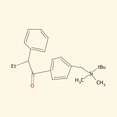 CCC(C(=O)c1ccc(C[Si](C)(C)C(C)(C)C)cc1)c1ccccc1